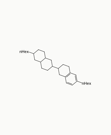 CCCCCCc1ccc2c(c1)CCC(C1CCC3CC(CCCCCC)CCC3C1)C2